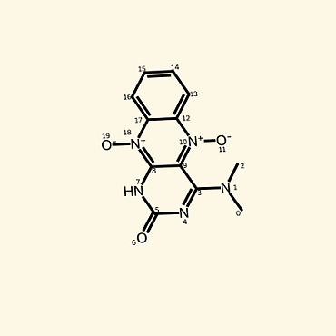 CN(C)c1nc(=O)[nH]c2c1[n+]([O-])c1ccccc1[n+]2[O-]